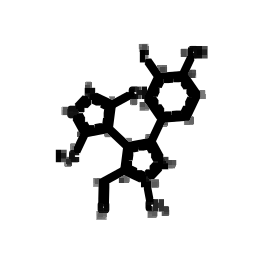 Cc1noc(C)c1-c1c(-c2ccc(O)c(F)c2)nn(C)c1C=O